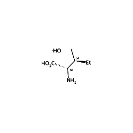 CC[C@H](C)[C@H](N)C(=O)O.[OH]